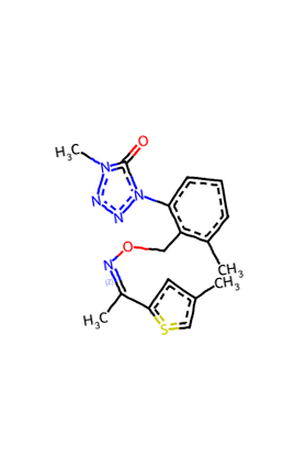 C/C(=N/OCc1c(C)cccc1-n1nnn(C)c1=O)c1cc(C)cs1